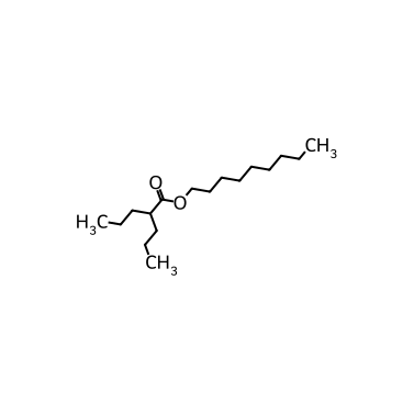 CCCCCCCCCOC(=O)C(CCC)CCC